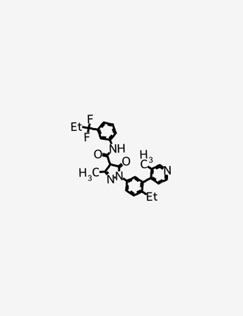 CCc1ccc(N2N=C(C)C(C(=O)Nc3cccc(C(F)(F)CC)c3)C2=O)cc1-c1ccncc1C